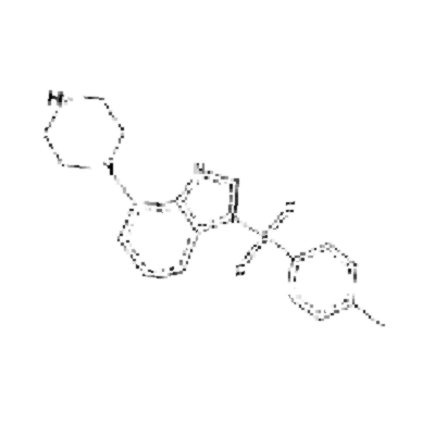 Cc1ccc(S(=O)(=O)n2cnc3c(N4CCNCC4)cccc32)cc1